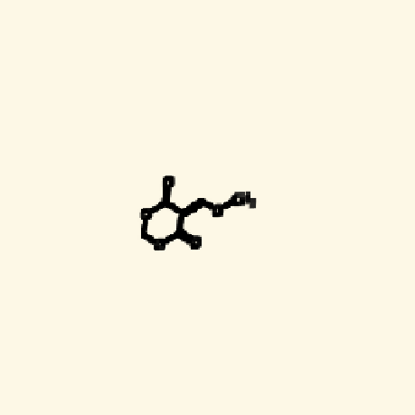 COC=C1C(=O)OCOC1=O